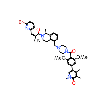 COc1cc(-c2cn(C)c(=O)c(C)c2C)cc(OC)c1C(=O)N1CCN(Cc2cccc3c2CCN(C(=O)/C(C#N)=C\c2cccc(Br)n2)C3C)CC1